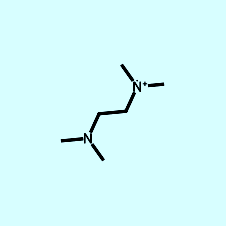 CN(C)CC[N+](C)C